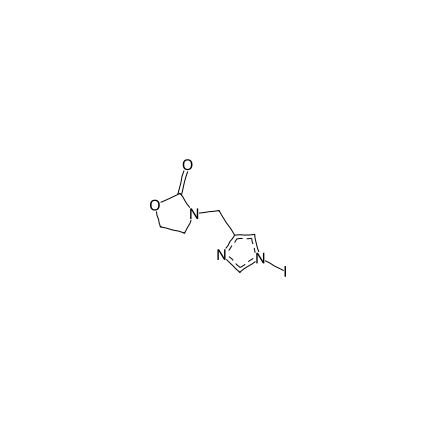 O=C1OCCN1Cc1cn(I)cn1